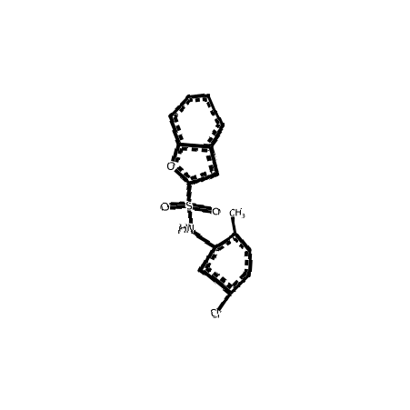 Cc1ccc(Cl)cc1NS(=O)(=O)c1cc2ccccc2o1